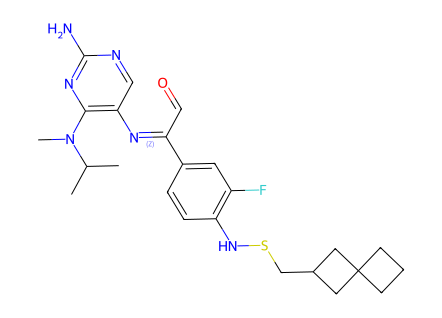 CC(C)N(C)c1nc(N)ncc1/N=C(\C=O)c1ccc(NSCC2CC3(CCC3)C2)c(F)c1